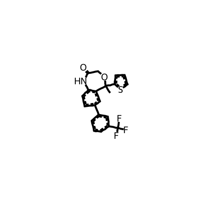 CC1(c2cccs2)OCC(=O)Nc2ccc(-c3cccc(C(F)(F)F)c3)cc21